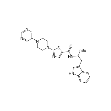 CCCCC(Cc1c[nH]c2ccccc12)NC(=O)c1cnc(N2CCN(c3cncnc3)CC2)s1